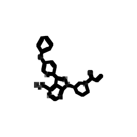 C=CC(=O)N1CCC[C@@H](n2nc(-c3ccc(Oc4ccccc4)cn3)c3c(N)ncnc32)C1